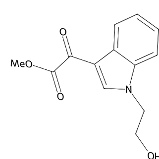 COC(=O)C(=O)c1cn(CCO)c2ccccc12